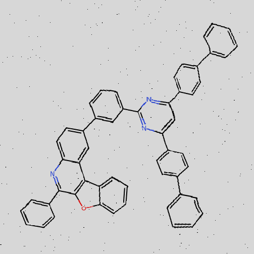 c1ccc(-c2ccc(-c3cc(-c4ccc(-c5ccccc5)cc4)nc(-c4cccc(-c5ccc6nc(-c7ccccc7)c7oc8ccccc8c7c6c5)c4)n3)cc2)cc1